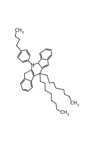 CCCCCCCCC1(CCCCCCCC)C2=Cc3ccccc3C2N(c2ccc(CCCC)cc2)C2=C1c1ccccc1C2